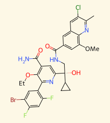 CCOc1c(C(N)=O)cc([C@@](O)(CNC(=O)c2cc(OC)c3nc(C)c(Cl)cc3c2)C2CC2)nc1-c1cc(Br)c(F)cc1F